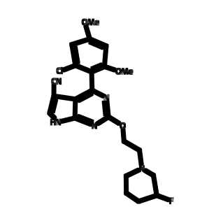 COc1cc(Cl)c(-c2nc(OCCN3CCCC(F)C3)nc3[nH]cc(C#N)c23)c(OC)c1